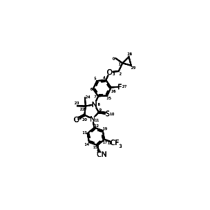 CC1(COc2ccc(N3C(=S)N(c4ccc(C#N)c(C(F)(F)F)c4)C(=O)C3(C)C)cc2F)CC1